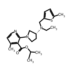 CCN(Cc1ccc(C)s1)[C@@H]1CCN(c2nccc(C)c2C(=O)OC(C)C)C1